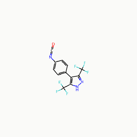 O=C=Nc1ccc(-c2c(C(F)(F)F)n[nH]c2C(F)(F)F)cc1